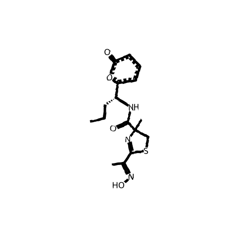 CCC[C@@H](NC(=O)C1(C)CSC(/C(C)=N/O)=N1)c1cccc(=O)o1